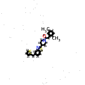 Cc1ccc(C)c(CC(=O)N2CCC(c3nc4cc(Cc5cccs5)ccc4s3)CC2)c1